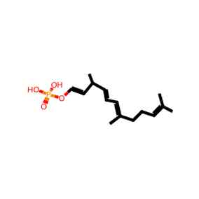 CC(C)=CCCC(C)=CC=CC(C)C=COP(=O)(O)O